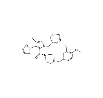 COc1ccc(CN2CCN(C(=O)c3c(-c4ccco4)c(C)cn3Cc3ccccc3)CC2)cc1F